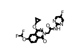 O=C(Cn1nc(OC2CC2)c2cc(OC(F)F)ccc2c1=O)Nc1ncc(F)cn1